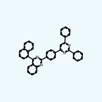 c1ccc(-c2cc(-c3ccc(-c4nc(-c5cccc6ccccc56)c5ccccc5n4)cc3)nc(-c3ccccc3)n2)cc1